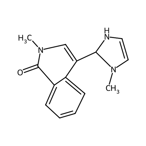 CN1C=CNC1c1cn(C)c(=O)c2ccccc12